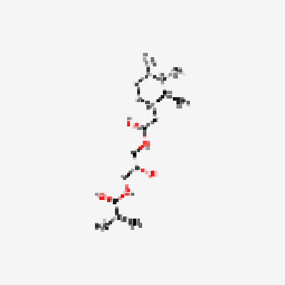 C=C(C)C(=O)OCC(O)COC(=O)CC1CCC(C)C(C)C1C